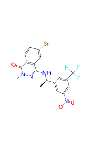 C[C@@H](Nc1nn(C)c(=O)c2ccc(Br)cc12)c1cc([N+](=O)[O-])cc(C(F)(F)F)c1